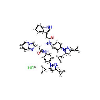 Cl.O=C(Cc1c[nH]c2ccccc12)Nc1ccc(-n2nc(C3CC3)cc2C2CC2)cc1.O=C(Cc1cn2ccccc2n1)Nc1ccc(-n2nc(C3CC3)cc2C2CC2)cc1